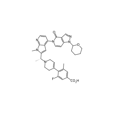 Cc1cc(C(=O)O)cc(F)c1C1=CCN([C@H](C)c2cc3c(-n4ccc5c(cnn5C5CCCCO5)c4=O)ccnc3n2C)CC1